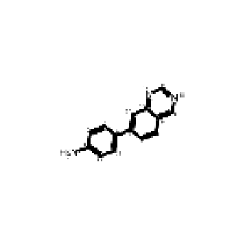 Nc1ccc(-c2ccc3cncnc3c2)cc1